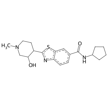 CN1CCC(c2nc3ccc(C(=O)NC4CCCC4)cc3s2)C(O)C1